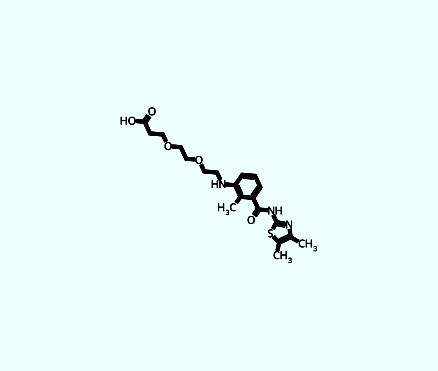 Cc1nc(NC(=O)c2cccc(NCCOCCOCCC(=O)O)c2C)sc1C